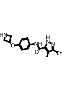 CCc1n[nH]c(C(=O)Nc2ccc(OC3CNC3)cc2)c1C